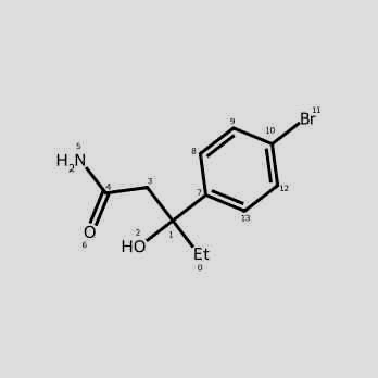 CCC(O)(CC(N)=O)c1ccc(Br)cc1